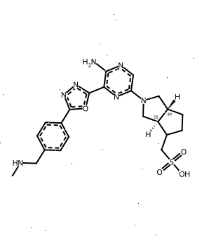 CNCc1ccc(-c2nnc(-c3nc(N4C[C@@H]5CCC(CS(=O)(=O)O)[C@H]5C4)cnc3N)o2)cc1